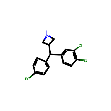 Clc1ccc(C(c2ccc(Br)cc2)C2CNC2)cc1Cl